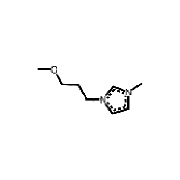 COCCC[n+]1ccn(C)c1